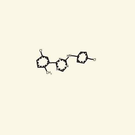 Cc1ccc(Cl)cc1-c1ncnc(Nc2ccc(Cl)cc2)n1